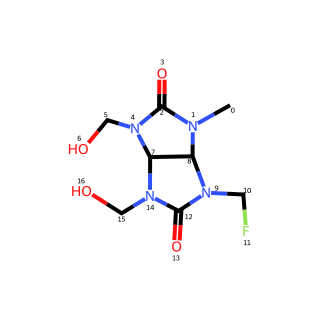 CN1C(=O)N(CO)C2C1N(CF)C(=O)N2CO